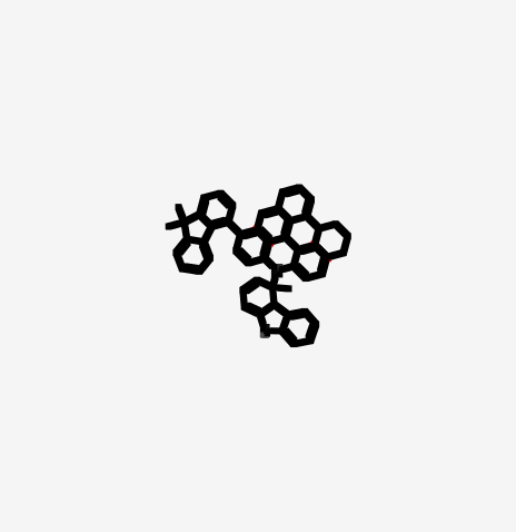 CC1(C)c2ccccc2-c2c(-c3ccc(N(c4ccccc4-c4cccc5cccc(C6CCCCC6)c45)C4(C)C=CC=C5Sc6ccccc6C54)cc3)cccc21